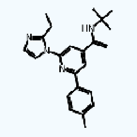 C=C(NC(C)(C)C)c1cc(-c2ccc(C)cc2)nc(-n2ccnc2CC)c1